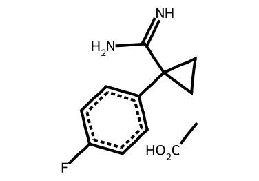 CC(=O)O.N=C(N)C1(c2ccc(F)cc2)CC1